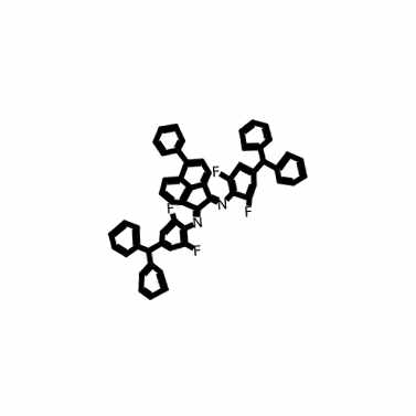 Fc1cc(C(c2ccccc2)c2ccccc2)cc(F)c1N=C1C(=Nc2c(F)cc(C(c3ccccc3)c3ccccc3)cc2F)c2ccc(-c3ccccc3)c3cccc1c23